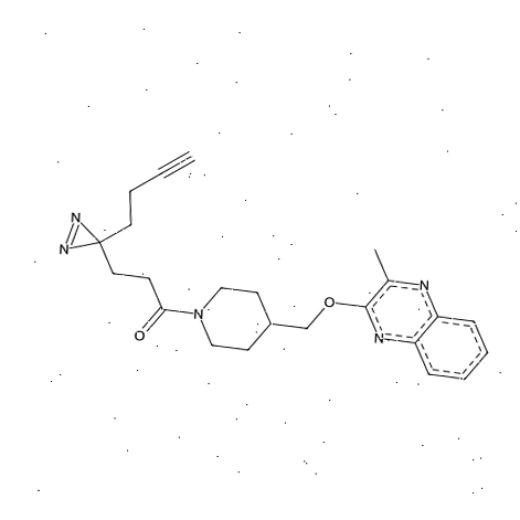 C#CCCC1(CCC(=O)N2CCC(COc3nc4ccccc4nc3C)CC2)N=N1